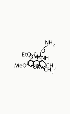 CCOC(=O)C1=C(COCCN)NC2=C(C(=O)CC(C)(C)C2)C1c1c(OC)cc(OC)cc1OC